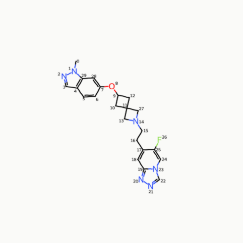 Cn1ncc2ccc(OC3CC4(C3)CN(CCc3cc5nncn5cc3F)C4)cc21